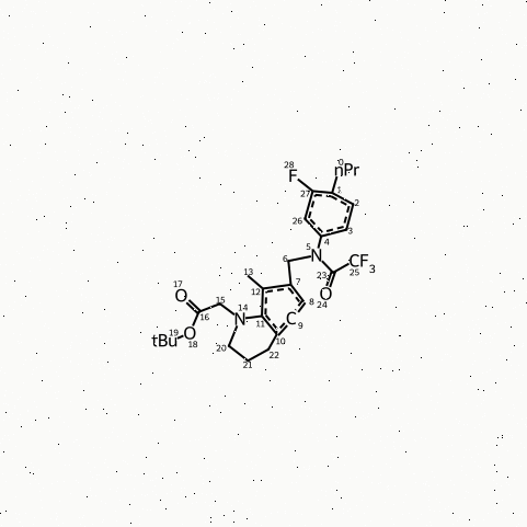 CCCc1ccc(N(Cc2ccc3c(c2C)N(CC(=O)OC(C)(C)C)CCC3)C(=O)C(F)(F)F)cc1F